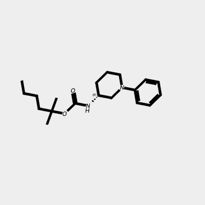 CCCCC(C)(C)OC(=O)N[C@@H]1CCCN(c2ccccc2)C1